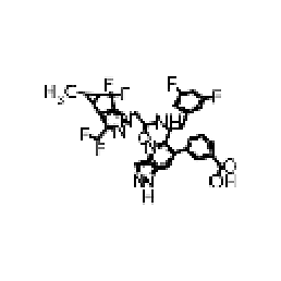 CC1C2c3c(C(F)F)nn(CC(=O)N[C@@H](Cc4cc(F)cc(F)c4)c4nc5cn[nH]c5cc4-c4cccc(C(=O)O)c4)c3C(F)(F)C12